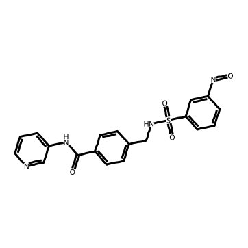 O=Nc1cccc(S(=O)(=O)NCc2ccc(C(=O)Nc3cccnc3)cc2)c1